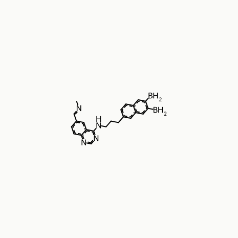 Bc1cc2ccc(CCCNc3ncnc4ccc(C=NC)cc34)cc2cc1B